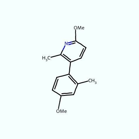 COc1ccc(-c2ccc(OC)nc2C)c(C)c1